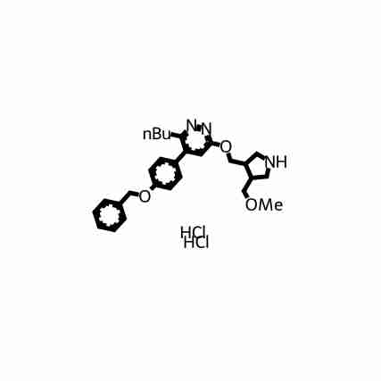 CCCCc1nnc(OCC2CNCC2COC)cc1-c1ccc(OCc2ccccc2)cc1.Cl.Cl